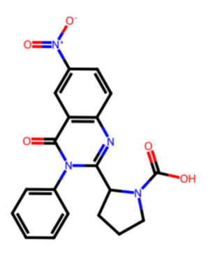 O=C(O)N1CCCC1c1nc2ccc([N+](=O)[O-])cc2c(=O)n1-c1ccccc1